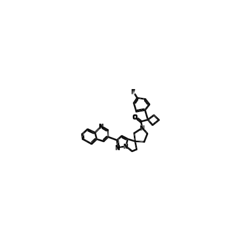 O=C(N1CCC2(CCn3nc(-c4cnc5ccccc5c4)cc32)C1)C1(c2ccc(F)cc2)CCC1